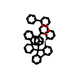 C1=CCCC(C2(c3ccccc3)c3ccccc3-c3cccc(N(c4cccc(-c5cccc(-c6ccccc6)c5)c4)c4ccc5ccccc5c4-c4ccccc4)c32)=C1